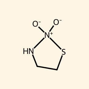 [O-][N+]1([O-])NCCS1